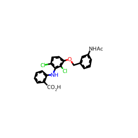 CC(=O)Nc1cccc(COc2ccc(Cl)c(Nc3ccccc3C(=O)O)c2Cl)c1